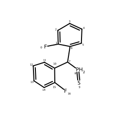 Fc1ccccc1C([PH2]=S)c1ccccc1F